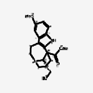 CCC(C)C[C@@H]1CN2CCc3c([nH]c4ccc(OC)cc34)C(C(=O)OC)(C1)C2C